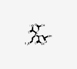 NCCN([C@@H](CC(=O)O)C(=O)O)[C@@H](CC(=O)O)C(=O)O